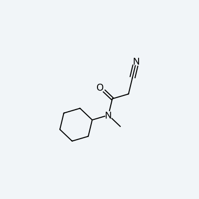 CN(C(=O)CC#N)C1CCCCC1